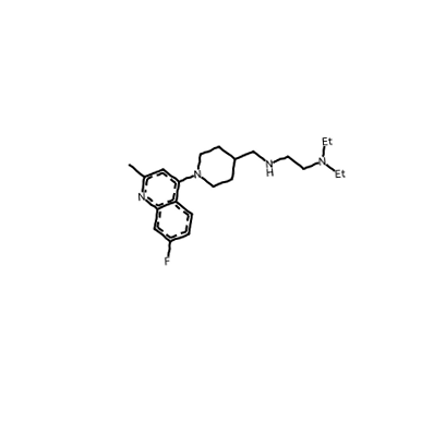 CCN(CC)CCNCC1CCN(c2cc(C)nc3cc(F)ccc23)CC1